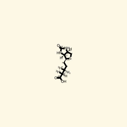 [2H]C([2H])(CC[C@@H]1SC[C@@H]2NC(=O)N[C@@H]21)C([2H])([2H])C(=O)O